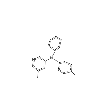 Cc1ccc(N(c2ccc(C)cc2)c2cncc(C)c2)cc1